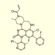 C=CC(=O)N1CC2CNc3c(Cl)c(-c4ccccc4F)c(F)c4c3c(nc(=O)n4-c3c(C)ccnc3C(C)C)N2CC1C